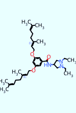 CCN1CC(NC(=O)c2cc(OC/C=C(\C)CCC=C(C)C)cc(OC/C=C(\C)CCC=C(C)C)c2)CN1CC